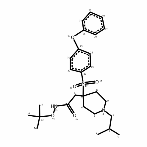 CC(C)CN1CCC(CC(=O)NOC(C)(C)C)(S(=O)(=O)c2ccc(Oc3ccccc3)cc2)CC1